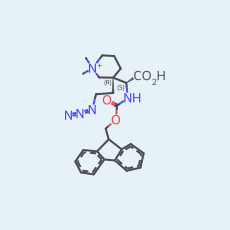 C[N+]1(C)CCC[C@](CCN=[N+]=[N-])([C@H](NC(=O)OCC2c3ccccc3-c3ccccc32)C(=O)O)C1